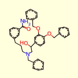 NC(=O)c1cccc(CCCN(Cc2ccccc2)CC(O)c2ccc(OCc3ccccc3)c(OCc3ccccc3)c2)c1